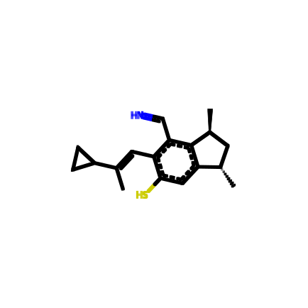 C/C(=C\c1c(S)cc2c(c1C=N)[C@@H](C)C[C@@H]2C)C1CC1